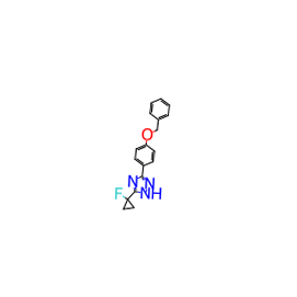 FC1(c2nc(-c3ccc(OCc4ccccc4)cc3)n[nH]2)CC1